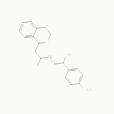 COc1ccc(C(O)CNC(C)CC2OCCc3ccccc32)cc1